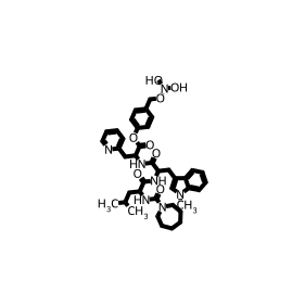 CC(C)CC(NC(=O)N1CCCCCC1)C(=O)NC(Cc1cn(C)c2ccccc12)C(=O)NC(Cc1ccccn1)C(=O)Oc1ccc(CON(O)O)cc1